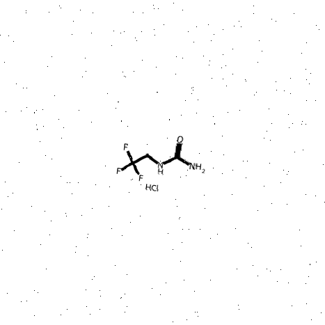 Cl.NC(=O)NCC(F)(F)F